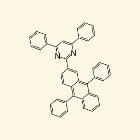 c1ccc(-c2cc(-c3ccccc3)nc(-c3ccc4c(-c5ccccc5)c5ccccc5c(-c5ccccc5)c4c3)n2)cc1